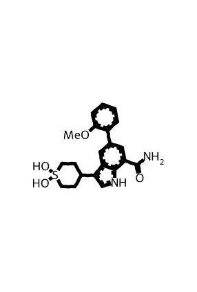 COc1ccccc1-c1cc(C(N)=O)c2[nH]cc(C3CCS(O)(O)CC3)c2c1